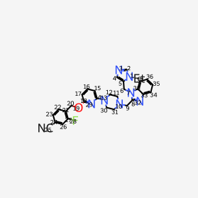 CCn1cncc1Cn1c(CN2CCN(c3cccc(OCc4ccc(C#N)cc4F)n3)CC2)nc2ccccc21